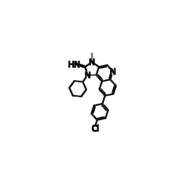 Cn1c(=N)n(C2CCCCC2)c2c3cc(-c4ccc(Cl)cc4)ccc3ncc21